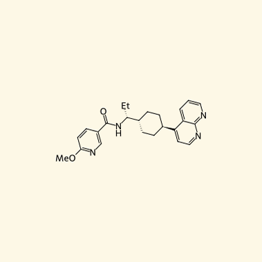 CC[C@@H](NC(=O)c1ccc(OC)nc1)[C@H]1CC[C@H](c2ccnc3ncccc32)CC1